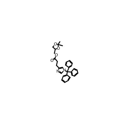 CC1(C)OCC(COC(=O)CCc2cn(C(c3ccccc3)(c3ccccc3)c3ccccc3)cn2)O1